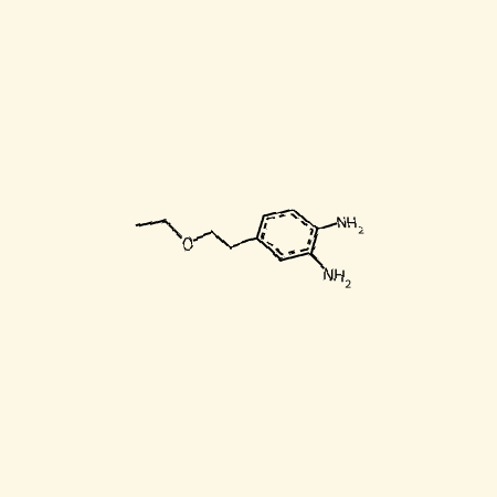 CCOCCc1ccc(N)c(N)c1